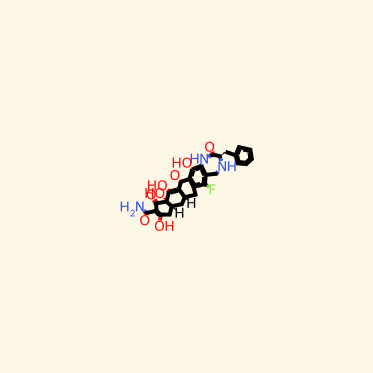 NC(=O)C1=C(O)C[C@@H]2C[C@@H]3Cc4c(F)c5c(c(O)c4C(=O)C3=C(O)[C@]2(O)C1=O)NC(=O)[C@H](Cc1ccccc1)NC5